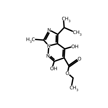 CCOC(=O)c1c(O)nn2c(C)nc(C(C)C)c2c1O